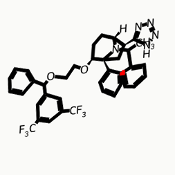 CC(c1ccccc1)N1[C@@H]2CC[C@H](OCCOC(c3ccccc3)c3cc(C(F)(F)F)cc(C(F)(F)F)c3)[C@@]1(c1ccccc1)C[C@@H]2c1nnn[nH]1